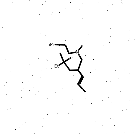 C/C=C/C(CN(C)CCC(C)C)CC(C)(C)CC